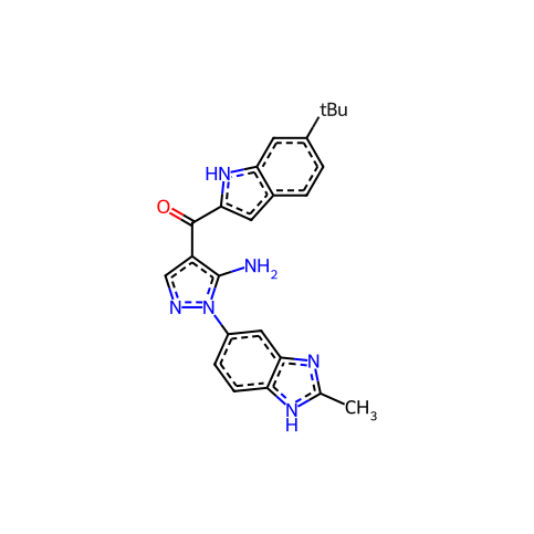 Cc1nc2cc(-n3ncc(C(=O)c4cc5ccc(C(C)(C)C)cc5[nH]4)c3N)ccc2[nH]1